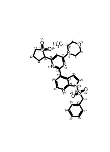 C[C@@H]1COCCN1c1cc(C2CCCS2(=O)=O)nc(-c2ccnc3c2ccn3S(=O)(=O)Cc2ccccc2)n1